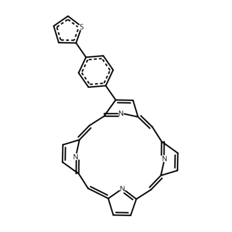 C1=CC2=NC1=CC1=NC(=CC3=NC(=CC4=NC(=C2)C=C4)C=C3c2ccc(-c3cccs3)cc2)C=C1